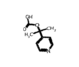 CC(C)(OC(=O)O)c1ccncc1